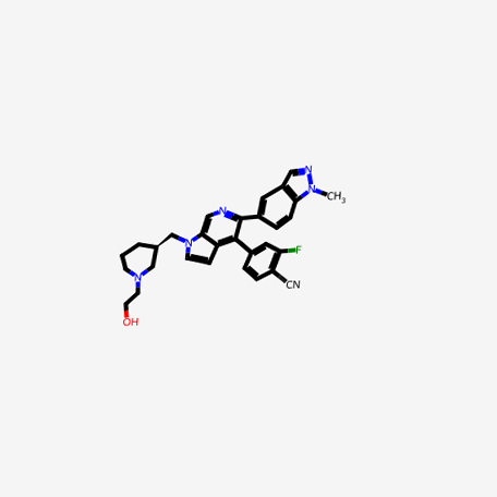 Cn1ncc2cc(-c3ncc4c(ccn4C[C@@H]4CCCN(CCO)C4)c3-c3ccc(C#N)c(F)c3)ccc21